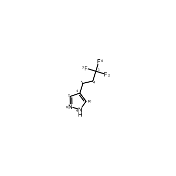 FC(F)(F)CCc1cn[nH]c1